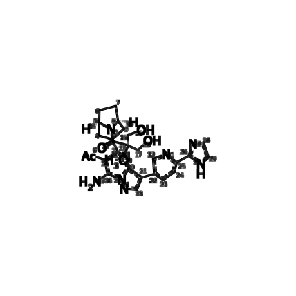 CC(=O)c1c(C2C[C@H]3CC[C@@H](C2)N3C(=O)C(C)(CO)CO)nc2c(-c3ccc(-c4ncc[nH]4)nc3)cnn2c1N